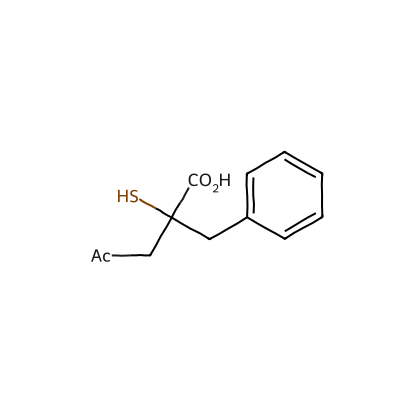 CC(=O)CC(S)(Cc1ccccc1)C(=O)O